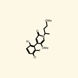 COCCC(C)n1cc(OC)c(-c2c(C(C)=O)ccc(Cl)c2F)cc1=O